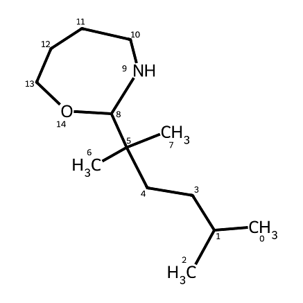 CC(C)CCC(C)(C)C1NCCCCO1